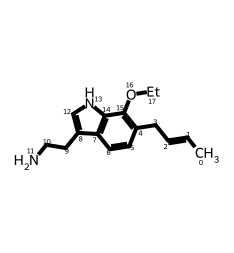 C/C=C/Cc1ccc2c(CCN)c[nH]c2c1OCC